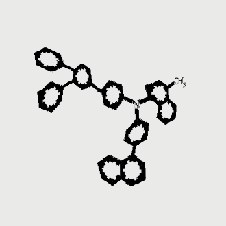 Cc1ccc(N(c2ccc(-c3ccc(-c4ccccc4)c(-c4ccccc4)c3)cc2)c2ccc(-c3cccc4ccccc34)cc2)c2ccccc12